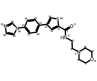 O=C(NCCN1CCOCC1)c1cc(-c2ccc(-n3ccnc3)cc2)cs1